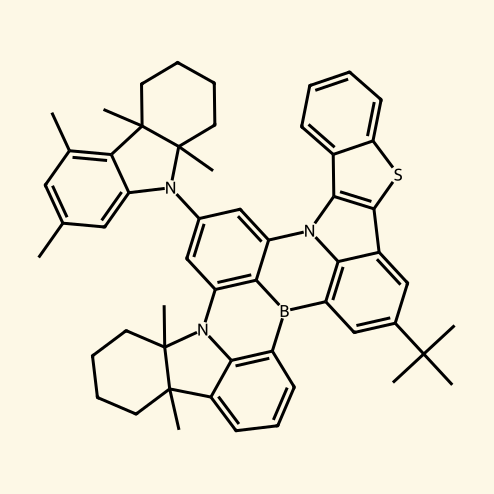 Cc1cc(C)c2c(c1)N(c1cc3c4c(c1)-n1c5c(cc(C(C)(C)C)cc5c5sc6ccccc6c51)B4c1cccc4c1N3C1(C)CCCCC41C)C1(C)CCCCC21C